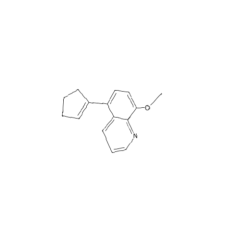 COc1ccc(C2=CCCC2)c2cccnc12